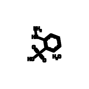 NNc1ccccc1S(=O)(=O)O.O